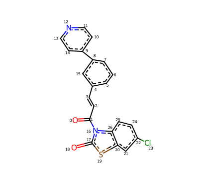 O=C(C=Cc1cccc(-c2ccncc2)c1)n1c(=O)sc2cc(Cl)ccc21